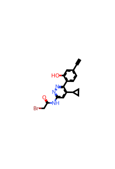 C#Cc1ccc(-c2nnc(NC(=O)CBr)cc2C2CC2)c(O)c1